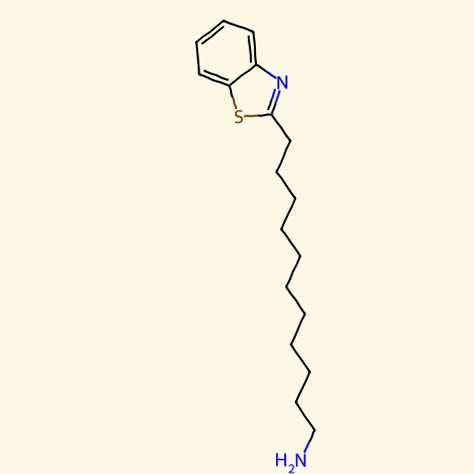 NCCCCCCCCCCCc1nc2ccccc2s1